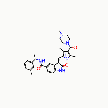 Cc1cccc(C(C)NC(=O)c2ccc3c(c2)/C(=C/c2[nH]c(C)c(C(=O)N4CCN(C)CC4)c2C)C(=O)N3)c1